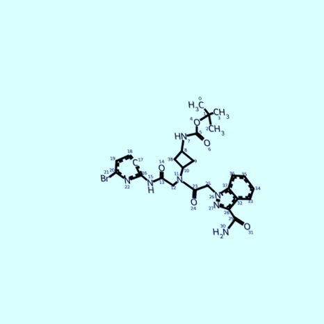 CC(C)(C)OC(=O)NC1CC(N(CC(=O)Nc2cccc(Br)n2)C(=O)Cn2nc(C(N)=O)c3ccccc32)C1